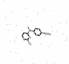 CNc1ccc(N(C)c2ccnc(Cl)n2)cc1